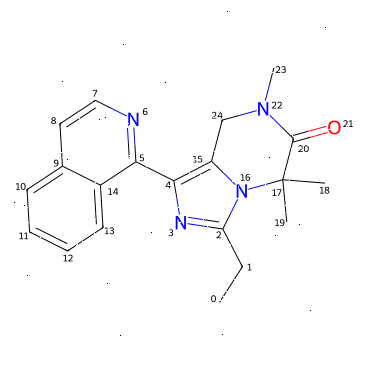 CCc1nc(-c2nccc3ccccc23)c2n1C(C)(C)C(=O)N(C)C2